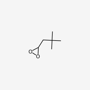 CC(C)(C)CC1OO1